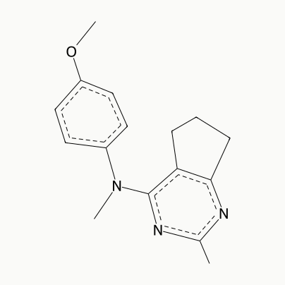 COc1ccc(N(C)c2nc(C)nc3c2CCC3)cc1